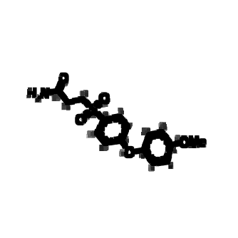 COc1ccc(Oc2ccc(S(=O)(=O)CCC(N)=O)cc2)cc1